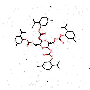 CC1CCC(C(C)C)C(OC(=O)OC=C2OC(OC(=O)OC3CC(C)CCC3C(C)C)C(=COC(=O)OC3CC(C)CCC3C(C)C)OC2OC(=O)OC2CC(C)CCC2C(C)C)C1